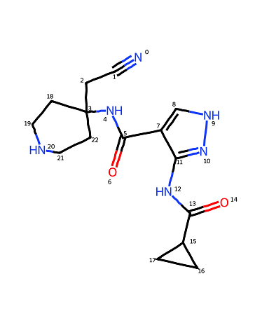 N#CCC1(NC(=O)c2c[nH]nc2NC(=O)C2CC2)CCNCC1